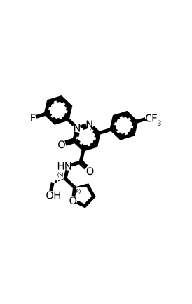 O=C(N[C@@H](CO)[C@H]1CCCO1)c1cc(-c2ccc(C(F)(F)F)cc2)nn(-c2cccc(F)c2)c1=O